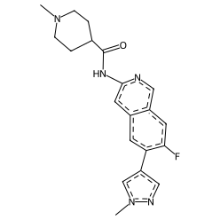 CN1CCC(C(=O)Nc2cc3cc(-c4cnn(C)c4)c(F)cc3cn2)CC1